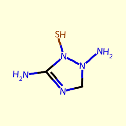 NC1=NCN(N)N1S